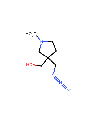 [N-]=[N+]=NCC1(CO)CCN(C(=O)O)C1